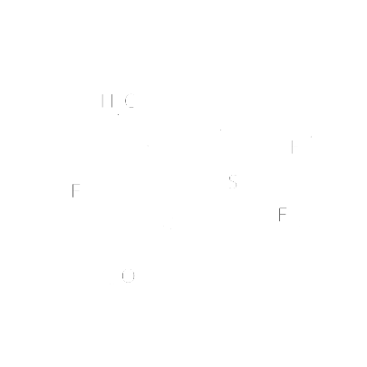 C=C1CS(F)(F)CC(=O)C1F